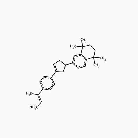 CC(=CC(=O)O)c1ccc(C2=CCC(c3ccc4c(c3)C(C)(C)CCC4(C)C)C2)cc1